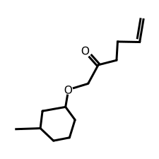 C=CCCC(=O)COC1CCCC(C)C1